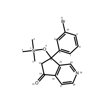 C[Si](C)(C)OC1(c2cccc(Br)c2)CC(=O)c2ccncc21